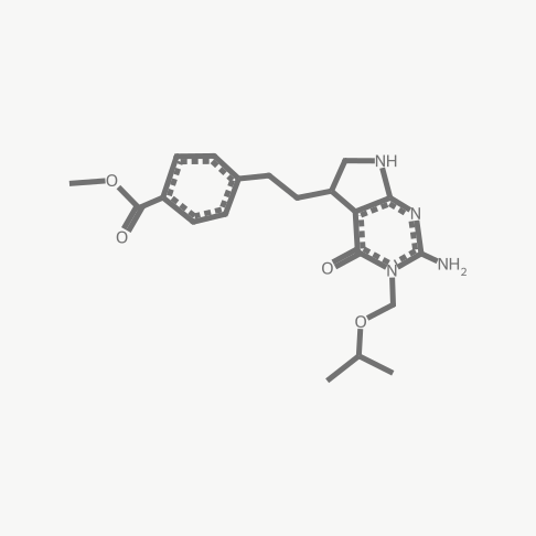 COC(=O)c1ccc(CCC2CNc3nc(N)n(COC(C)C)c(=O)c32)cc1